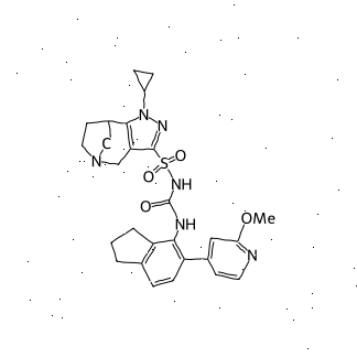 COc1cc(-c2ccc3c(c2NC(=O)NS(=O)(=O)c2nn(C4CC4)c4c2CN2CCC4CC2)CCC3)ccn1